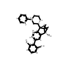 CC1(C)[C@H]2CC[C@]1([C@H]1CCCN(c3ccccn3)C1)c1nnc(-c3c(F)cccc3F)cc12